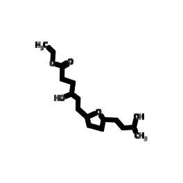 CCOC(=O)CCC(O)CCC1CCC(CCC(C)O)O1